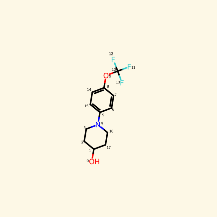 OC1CCN(c2ccc(OC(F)(F)F)cc2)CC1